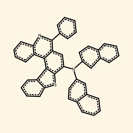 c1ccc(-c2nc3ccccc3c3c2cc(N(c2ccc4ccccc4c2)c2ccc4ccccc4c2)c2sc4ccccc4c23)cc1